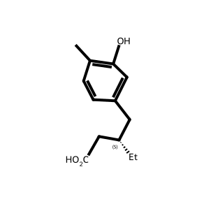 CC[C@H](CC(=O)O)Cc1ccc(C)c(O)c1